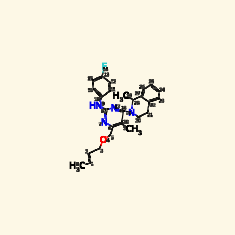 C/C=C/COCc1nc(Nc2ccc(F)cc2)nc(N2CCc3ccccc3C2C)c1C